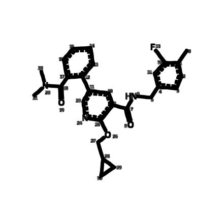 Cc1ccc(CNC(=O)c2cc(-c3ccccc3C(=O)N(C)C)cnc2OCC2CC2)cc1F